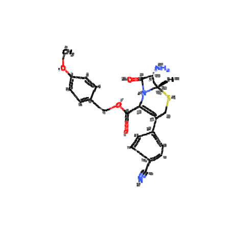 COc1ccc(COC(=O)C2=C(c3ccc(C#N)cc3)CS[C@H]3[C@@H](N)C(=O)N23)cc1